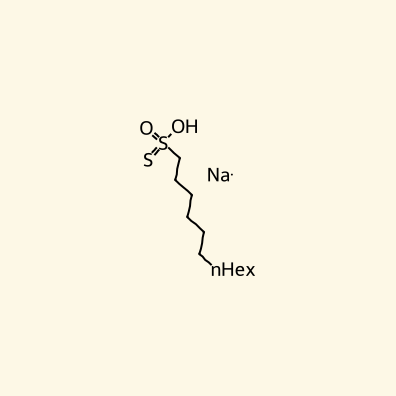 CCCCCCCCCCCCS(=O)(O)=S.[Na]